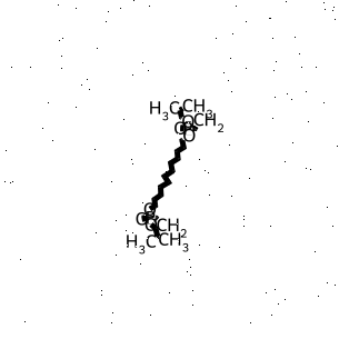 C=CP(=O)(OCCCCCCCCCCCCOP(=O)(C=C)OCC(C)C)OCC(C)C